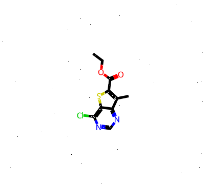 CCOC(=O)c1sc2c(Cl)ncnc2c1C